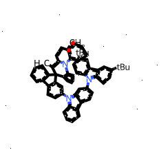 C=C/C=C\C1=C(C)C2(c3ccccc3-c3ccc(-n4c5ccccc5c5ccc(-n6c7ccc(C(C)(C)C)cc7c7cc(C(C)(C)C)ccc76)cc54)cc32)c2ccccc2N1c1ccccc1